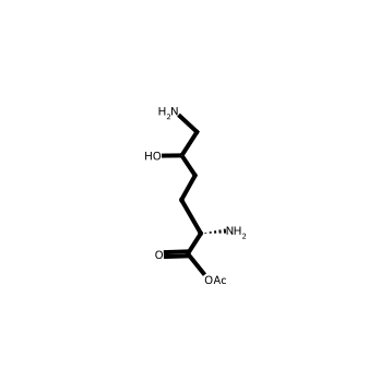 CC(=O)OC(=O)[C@@H](N)CCC(O)CN